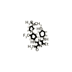 CCc1nc(C(N)=O)c(Nc2ccc(N3CCC(N(C)C)C3)c(C(F)(F)F)c2)nc1N[C@H]1CC[C@H](O)CC1